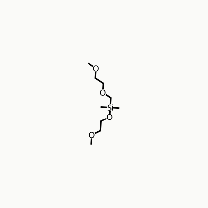 COCCOC[Si](C)(C)OCCOC